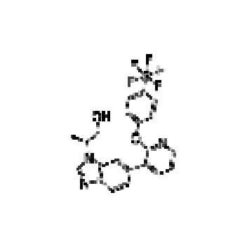 C[C@@H](CO)n1cnc2ccc(-c3cccnc3Oc3ccc(S(F)(F)(F)(F)F)cc3)cc21